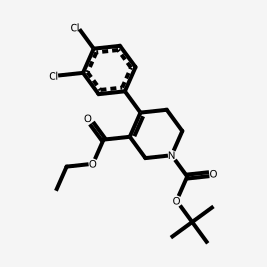 CCOC(=O)C1=C(c2ccc(Cl)c(Cl)c2)CCN(C(=O)OC(C)(C)C)C1